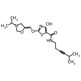 CC(C)C#CCCNC(=O)c1cnc(O/C=C2/CN(C(C)C)CO2)s1.Cl